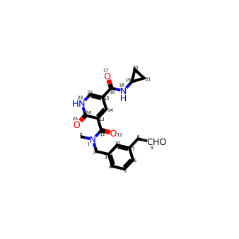 CN(Cc1cccc(CC=O)c1)C(=O)c1cc(C(=O)NC2CC2)c[nH]c1=O